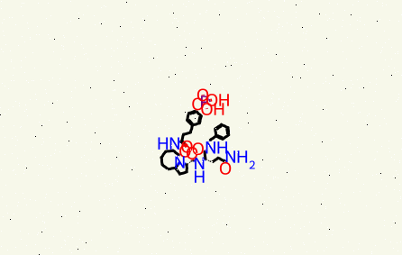 NC(=O)CC[C@H](NC(=O)[C@@H]1CCC2CCCC[C@H](NC(=O)CCc3ccc(OP(=O)(O)O)cc3)C(=O)N21)C(=O)NCc1ccccc1